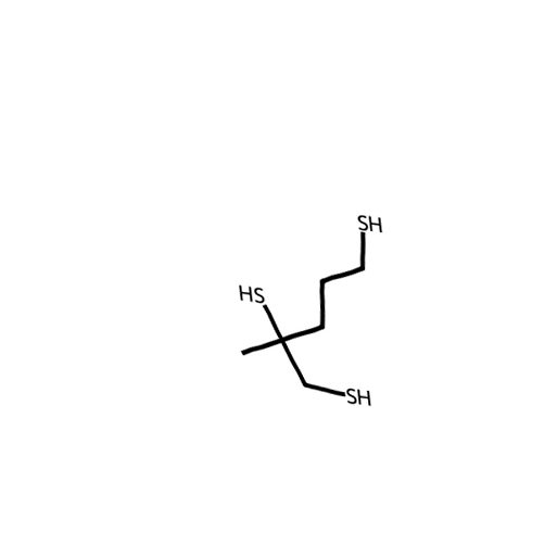 CC(S)(CS)CCCS